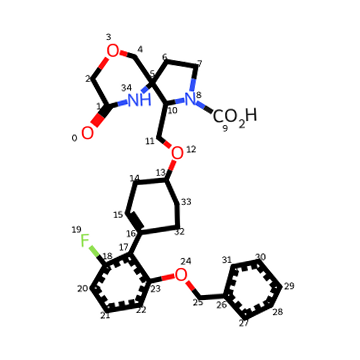 O=C1COCC2(CCN(C(=O)O)C2COC2CC=C(c3c(F)cccc3OCc3ccccc3)CC2)N1